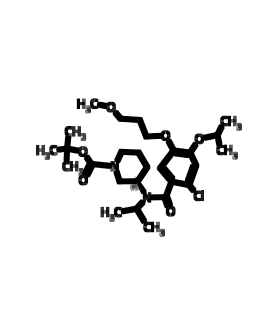 COCCCOc1cc(C(=O)N(C(C)C)[C@@H]2CCCN(C(=O)OC(C)(C)C)C2)c(Cl)cc1OC(C)C